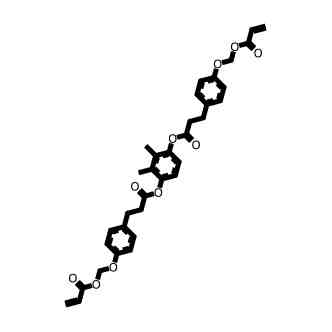 C=CC(=O)OCOc1ccc(CCC(=O)Oc2ccc(OC(=O)CCc3ccc(OCOC(=O)C=C)cc3)c(C)c2C)cc1